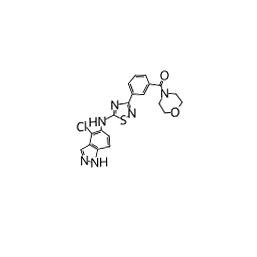 O=C(c1cccc(-c2nsc(Nc3ccc4[nH]ncc4c3Cl)n2)c1)N1CCOCC1